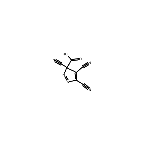 N#CC1=C(C#N)C(C#N)(C(=O)O)N=N1